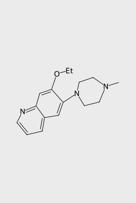 CCOc1cc2ncccc2cc1N1CCN(C)CC1